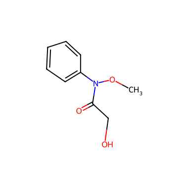 CON(C(=O)CO)c1ccccc1